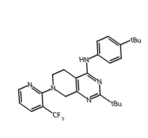 CC(C)(C)c1ccc(Nc2nc(C(C)(C)C)nc3c2CCN(c2ncccc2C(F)(F)F)C3)cc1